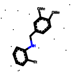 CCc1ccccc1NCc1ccc(OC)c(OC)c1